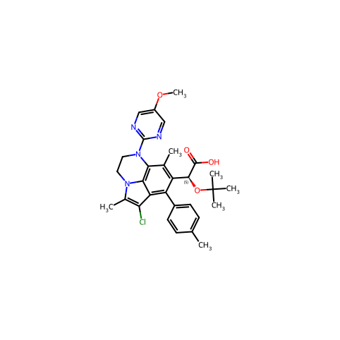 COc1cnc(N2CCn3c(C)c(Cl)c4c(-c5ccc(C)cc5)c([C@H](OC(C)(C)C)C(=O)O)c(C)c2c43)nc1